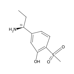 CC[C@H](N)c1ccc(S(C)(=O)=O)c(O)c1